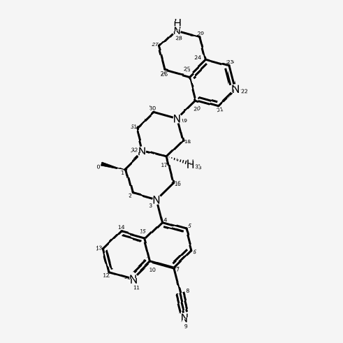 C[C@@H]1CN(c2ccc(C#N)c3ncccc23)C[C@@H]2CN(c3cncc4c3CCNC4)CCN21